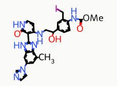 COC(=O)Nc1ccc(C(O)CNc2cc[nH]c(=O)c2-c2nc3c(C)cc(-n4ccnc4)cc3[nH]2)cc1CI